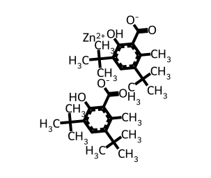 Cc1c(C(C)(C)C)cc(C(C)(C)C)c(O)c1C(=O)[O-].Cc1c(C(C)(C)C)cc(C(C)(C)C)c(O)c1C(=O)[O-].[Zn+2]